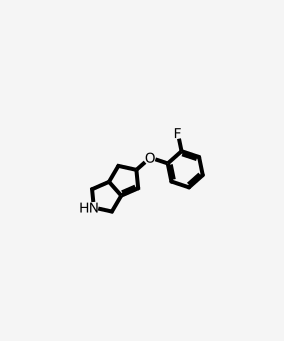 Fc1ccccc1OC1C=C2CNCC2C1